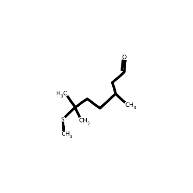 CSC(C)(C)CCC(C)CC=O